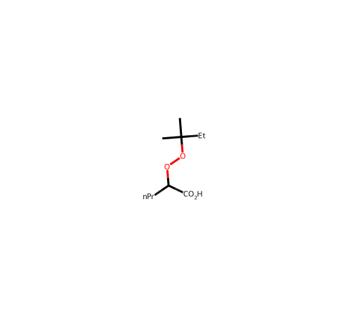 CCCC(OOC(C)(C)CC)C(=O)O